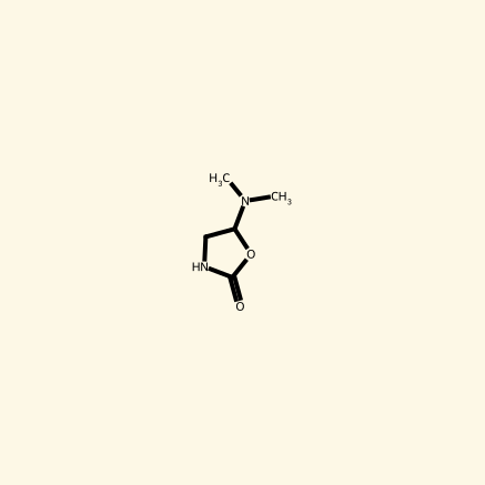 CN(C)C1CNC(=O)O1